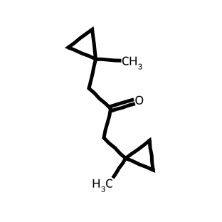 CC1(CC(=O)CC2(C)CC2)CC1